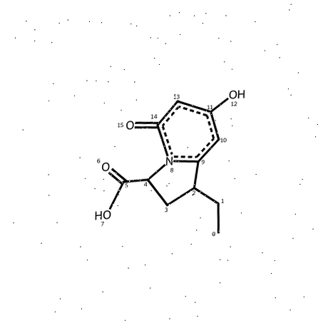 CCC1CC(C(=O)O)n2c1cc(O)cc2=O